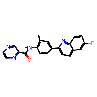 Cc1cc(-c2ccc3cc(F)ccc3n2)ccc1NC(=O)c1cnccn1